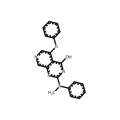 CN(c1ccccc1)c1nc(O)c2c(Oc3ccccc3)cncc2n1